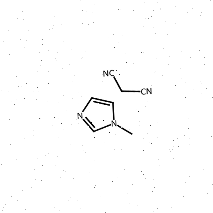 Cn1ccnc1.N#CCC#N